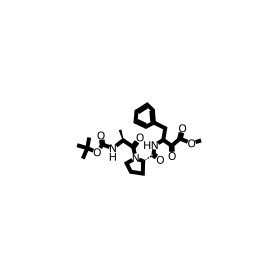 COC(=O)C(=O)C(Cc1ccccc1)NC(=O)[C@@H]1CCCN1C(=O)[C@H](C)NC(=O)OC(C)(C)C